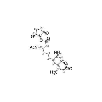 CC(=O)NC(CCCc1cc2c(C)cc(=O)oc2cc1N)CC(=O)ON1C(=O)CCC1=O